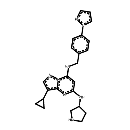 c1cnn(-c2ccc(CNc3cc(N[C@H]4CCNC4)nc4c(C5CC5)cnn34)cc2)c1